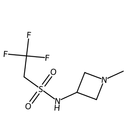 CN1CC(NS(=O)(=O)CC(F)(F)F)C1